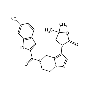 CC1(C)CN(c2cnn3c2CN(C(=O)c2cc4ccc(C#N)cc4[nH]2)CC3)C(=O)O1